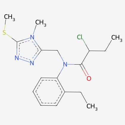 CCc1ccccc1N(Cc1nnc(SC)n1C)C(=O)C(Cl)CC